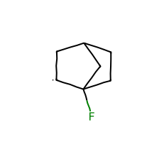 FC12[CH]CC(CC1)C2